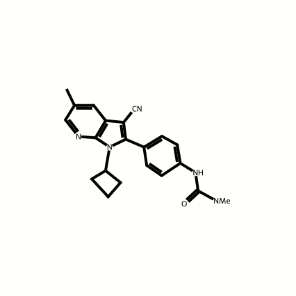 CNC(=O)Nc1ccc(-c2c(C#N)c3cc(C)cnc3n2C2CCC2)cc1